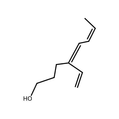 C=C/C(=C\C=C/C)CCCO